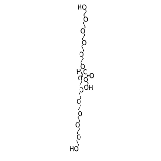 CC(=O)OCO.OCCOCCOCCOCCOCCOCCOCCOCCOCCOCCOCCOCCO